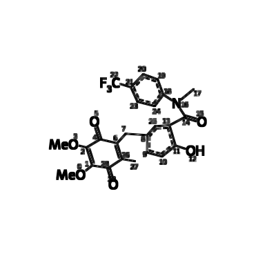 COC1=C(OC)C(=O)C(Cc2ccc(O)c(C(=O)N(C)c3ccc(C(F)(F)F)cc3)c2)=C(C)C1=O